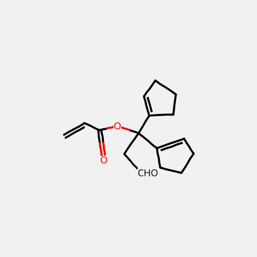 C=CC(=O)OC(CC=O)(C1=CCCC1)C1=CCCC1